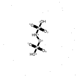 O=S(=O)(O)NOS(=O)(=O)O